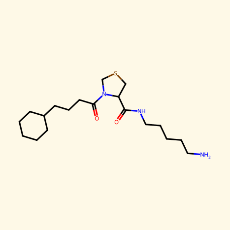 NCCCCCNC(=O)C1CSCN1C(=O)CCCC1CCCCC1